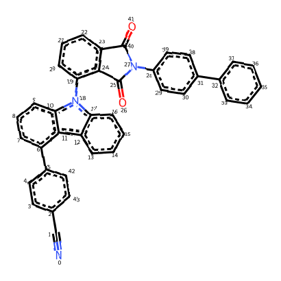 N#Cc1ccc(-c2cccc3c2c2ccccc2n3-c2cccc3c2C(=O)N(c2ccc(-c4ccccc4)cc2)C3=O)cc1